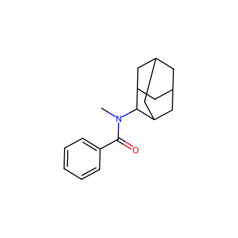 CN(C(=O)c1ccccc1)C1C2CC3CC(C2)CC1C3